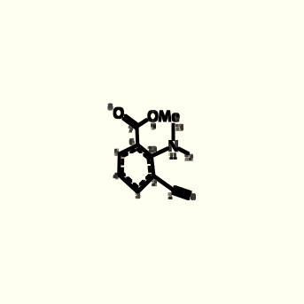 C#Cc1cccc(C(=O)OC)c1N(C)C